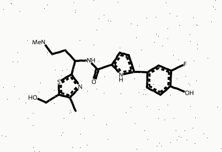 CNCCC(NC(=O)c1ccc(-c2ccc(O)c(F)c2)[nH]1)c1nc(C)c(CO)s1